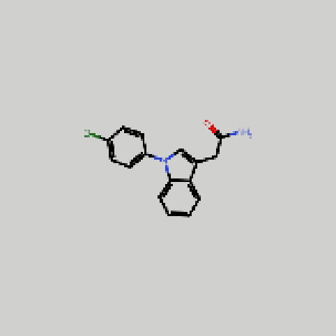 NC(=O)Cc1cn(-c2ccc(Cl)cc2)c2ccccc12